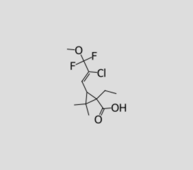 CCC1(C(=O)O)C(C=C(Cl)C(F)(F)OC)C1(C)C